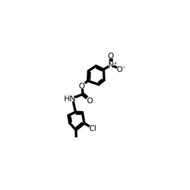 Cc1ccc(NC(=O)Oc2ccc([N+](=O)[O-])cc2)cc1Cl